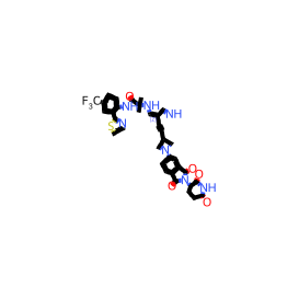 CC(C)(N/C=C(/C#CC1CN(c2ccc3c(c2)C(=O)N(C2CCC(=O)NC2=O)C3=O)C1)C=N)C(=O)Nc1ccc(C(F)(F)F)cc1-c1nccs1